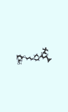 CC(C)(C)c1nc(C2CC2)cc(N2CCN(CCCOc3ccnc(O)n3)CC2)n1